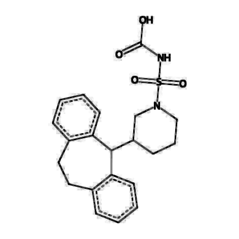 O=C(O)NS(=O)(=O)N1CCCC(C2c3ccccc3CCc3ccccc32)C1